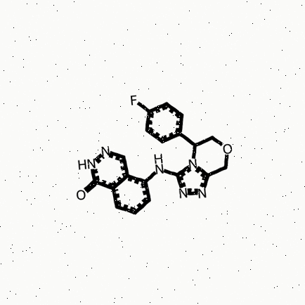 O=c1[nH]ncc2c(Nc3nnc4n3C(c3ccc(F)cc3)COC4)cccc12